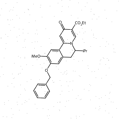 CCOC(=O)c1cn2c(cc1=O)-c1cc(OC)c(OCc3ccccc3)cc1CC2C(C)C